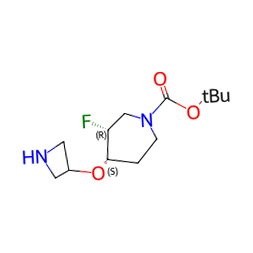 CC(C)(C)OC(=O)N1CC[C@H](OC2CNC2)[C@H](F)C1